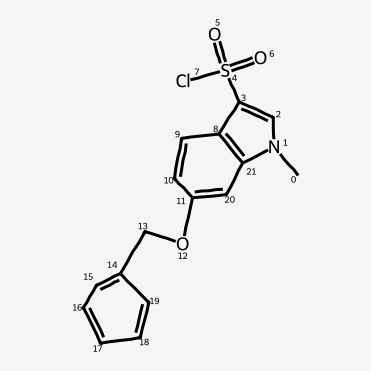 Cn1cc(S(=O)(=O)Cl)c2ccc(OCc3ccccc3)cc21